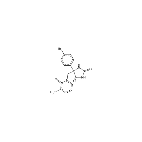 Cc1cccn(CC2(c3ccc(Br)cc3)NC(=O)NC2=O)c1=O